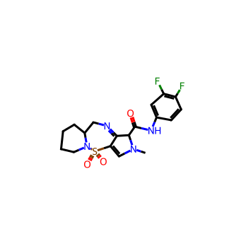 CN1C=C2C(=NCC3CCCCN3S2(=O)=O)C1C(=O)Nc1ccc(F)c(F)c1